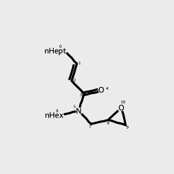 CCCCCCC/C=C/C(=O)N(CCCCCC)CC1CO1